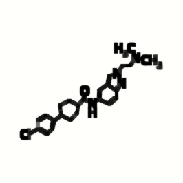 CN(C)CCn1cc2cc(NC(=O)C3CCC(c4ccc(Cl)cc4)CC3)ccc2n1